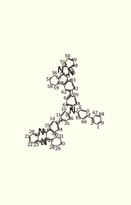 c1ccc(-c2ccc(N(c3ccc(-c4ccc(-c5nc6ccccc6nc5C5CCCCC5)cc4)cc3)c3ccc(-c4ccc(-c5nc6ccccc6nc5C5CCCCC5)cc4)cc3)cc2)cc1